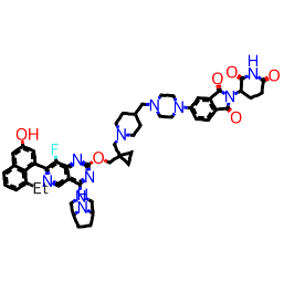 CCc1cccc2cc(O)cc(-c3ncc4c(N5CC6CCC(C5)N6)nc(OCC5(CN6CCC(CN7CCN(c8ccc9c(c8)C(=O)N(C8CCC(=O)NC8=O)C9=O)CC7)CC6)CC5)nc4c3F)c12